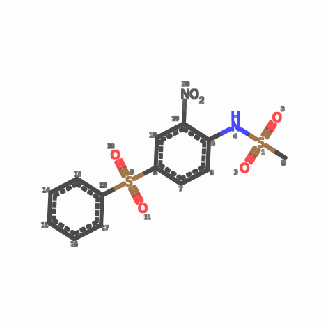 CS(=O)(=O)Nc1ccc(S(=O)(=O)c2ccccc2)cc1[N+](=O)[O-]